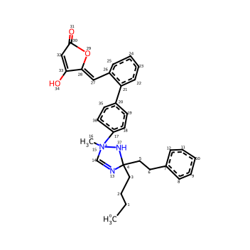 CCCCC1(CCc2ccccc2)N=C[N+](C)(c2ccc(-c3ccccc3/C=C3\OC(=O)C=C3O)cc2)N1